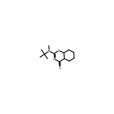 CN(C1=NC(=O)C2CCCCC2S1)C(C)(C)C